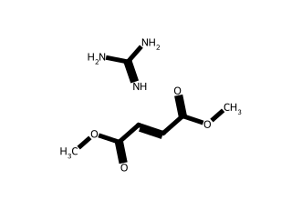 COC(=O)/C=C/C(=O)OC.N=C(N)N